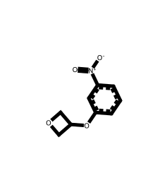 O=[N+]([O-])c1cccc(OC2COC2)c1